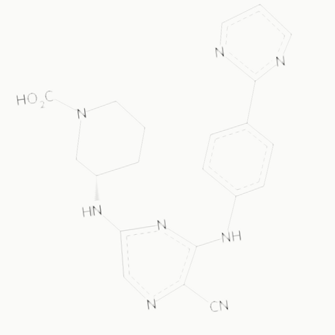 N#Cc1ncc(N[C@H]2CCCN(C(=O)O)C2)nc1Nc1ccc(-c2ncccn2)cc1